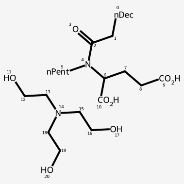 CCCCCCCCCCCC(=O)N(CCCCC)C(CCC(=O)O)C(=O)O.OCCN(CCO)CCO